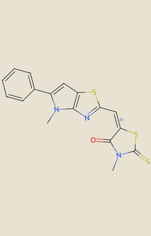 CN1C(=O)/C(=C\c2nc3c(cc(-c4ccccc4)n3C)s2)SC1=S